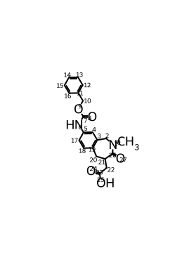 CN1Cc2cc(NC(=O)OCc3ccccc3)ccc2CC(CC(=O)O)C1=O